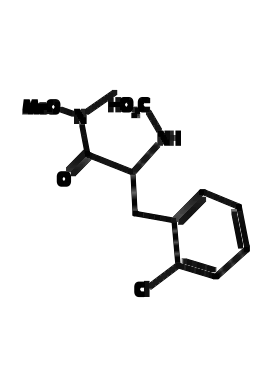 CON(C)C(=O)C(Cc1ccccc1Cl)NC(=O)O